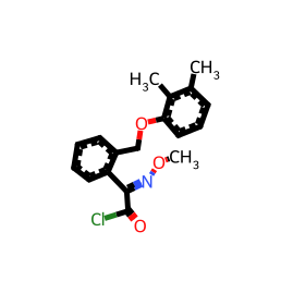 CO/N=C(/C(=O)Cl)c1ccccc1COc1cccc(C)c1C